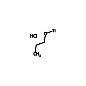 CCC[O][Ti].Cl